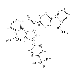 COc1ccccc1N1CCN(C(=O)c2nc(-c3ccc(C(F)(F)F)cc3)oc2-c2ccccc2[N+](=O)[O-])CC1